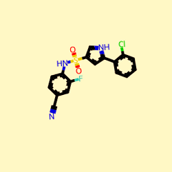 N#Cc1ccc(NS(=O)(=O)c2c[nH]c(-c3ccccc3Cl)c2)c(F)c1